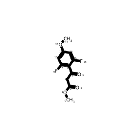 COC(=O)CC(=O)c1c(F)cc(OC)cc1F